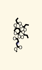 CCC(=O)O[C@@H]1[C@@H](OC(=O)CC)[C@@H](OC(=O)/C=C/C(=O)OC)OC[C@H]1OC(=O)CC